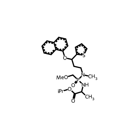 COCP(=O)(NC(C)C(=O)OC(C)C)N(C)CCC(Oc1cccc2ccccc12)c1cccs1